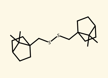 CC1(C)C2CCC1(CSSCC13CCC(CC1)C3(C)C)CC2